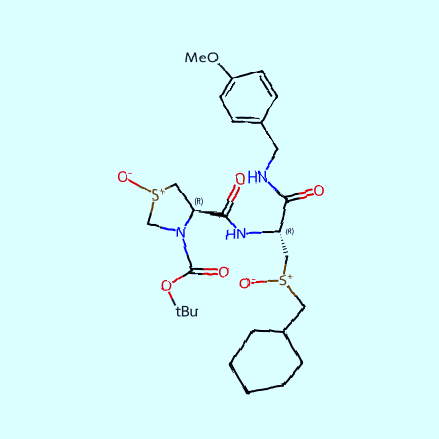 COc1ccc(CNC(=O)[C@H](C[S+]([O-])CC2CCCCC2)NC(=O)[C@@H]2C[S+]([O-])CN2C(=O)OC(C)(C)C)cc1